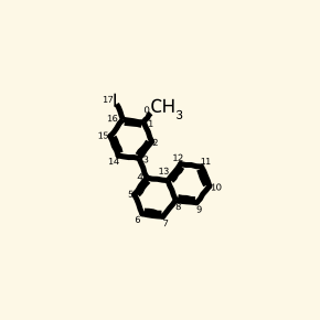 Cc1cc(-c2cccc3ccccc23)ccc1I